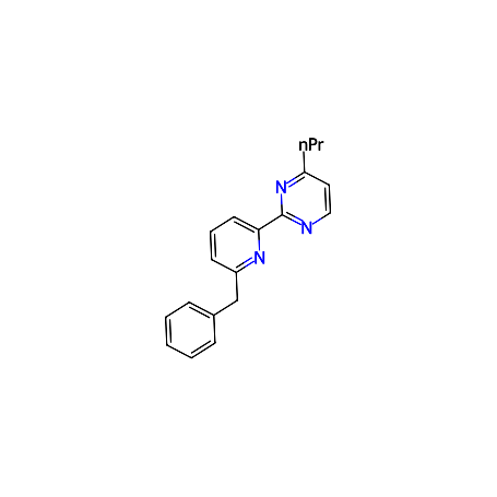 CCCc1ccnc(-c2cccc(Cc3ccccc3)n2)n1